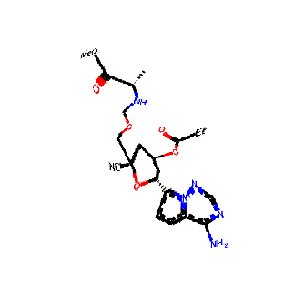 CCC(=O)O[C@@H]1C[C@@](C#N)(COCN[C@@H](C)C(=O)OC)O[C@H]1c1ccc2c(N)ncnn12